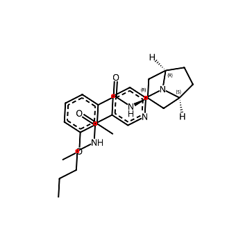 CCCCNC(=O)c1ccc(N2[C@@H]3CC[C@H]2C[C@@H](NC(=O)c2cccc(OC)c2C)C3)nc1